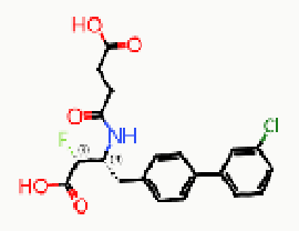 O=C(O)CCC(=O)N[C@H](Cc1ccc(-c2cccc(Cl)c2)cc1)[C@@H](F)C(=O)O